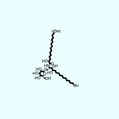 CCCCCCCCCCCCCCCCCCCCCCC[C@@H](O)C(=O)N[C@@H](CO[C@@H]1O[C@H](CO)[C@H](O)[C@H](O)[C@H]1O)[C@H](O)[C@H](O)CCCCCCCCCCCC(C)CC